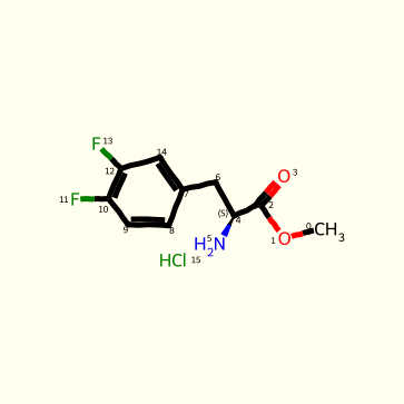 COC(=O)[C@@H](N)Cc1ccc(F)c(F)c1.Cl